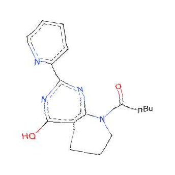 CCCCC(=O)N1CCCc2c(O)nc(-c3ccccn3)nc21